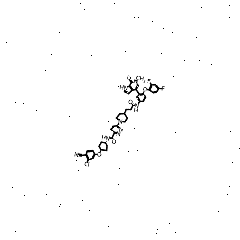 Cn1cc(-c2cc(NC(=O)CCC3CCN(c4ccc(C(=O)N[C@H]5CC[C@H](Oc6ccc(C#N)c(Cl)c6)CC5)nn4)CC3)ccc2Oc2ccc(F)cc2F)c2cc[nH]c2c1=O